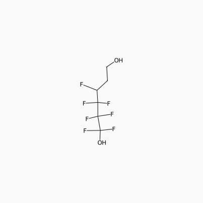 OCCC(F)C(F)(F)C(F)(F)C(O)(F)F